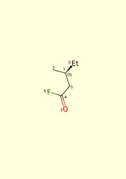 CC[C@H](C)CC(=O)F